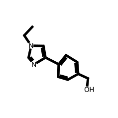 CCn1cnc(-c2ccc(CO)cc2)c1